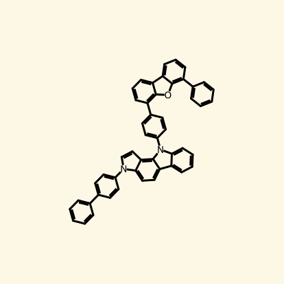 c1ccc(-c2ccc(-n3ccc4c3ccc3c5ccccc5n(-c5ccc(-c6cccc7c6oc6c(-c8ccccc8)cccc67)cc5)c34)cc2)cc1